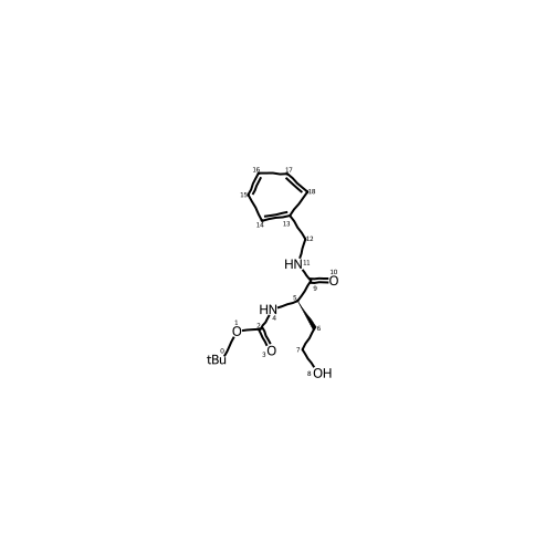 CC(C)(C)OC(=O)N[C@H](CCO)C(=O)NCc1ccccc1